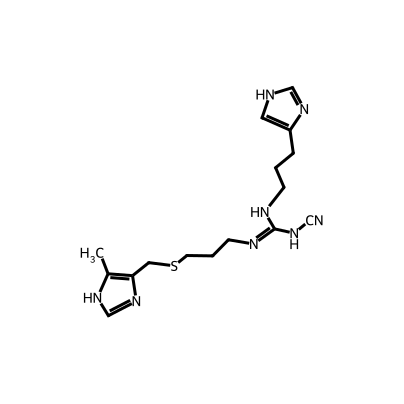 Cc1[nH]cnc1CSCCCN=C(NC#N)NCCCc1c[nH]cn1